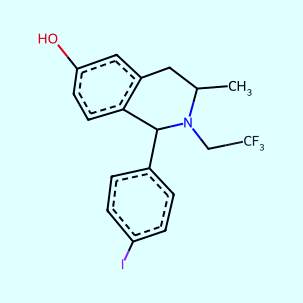 CC1Cc2cc(O)ccc2C(c2ccc(I)cc2)N1CC(F)(F)F